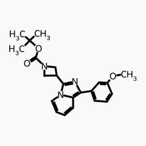 COc1cccc(-c2nc(C3CN(C(=O)OC(C)(C)C)C3)n3ccccc23)c1